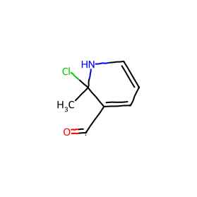 CC1(Cl)NC=CC=C1[C]=O